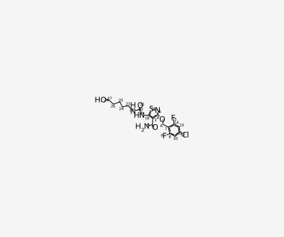 NC(=O)c1c(OCc2c(F)cc(Cl)cc2F)nsc1NC(=O)NCCCCCO